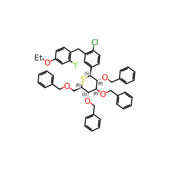 CCOc1ccc(Cc2cc([C@@H]3S[C@H](COCc4ccccc4)[C@@H](OCc4ccccc4)[C@H](OCc4ccccc4)[C@H]3OCc3ccccc3)ccc2Cl)c(F)c1